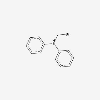 BrC[SiH](c1ccccc1)c1ccccc1